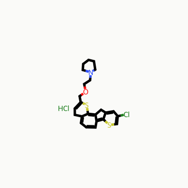 Cl.ClC1=CSC2=C3C=CC=C4CC=C(COCCN5CCCCC5)SC4=C3CC2=C1